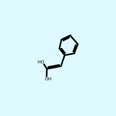 OC(O)=Cc1ccccc1